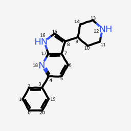 c1ccc(-c2ccc3c(C4CCNCC4)c[nH]c3n2)cc1